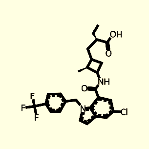 CC[C@H](CC1CC(NC(=O)c2cc(Cl)cc3ccn(Cc4ccc(C(F)(F)F)cc4)c23)[C@H]1C)C(=O)O